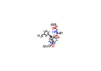 COC(=O)N1CC[C@@H]2[C@H]1CCC[C@]2(C#Cc1cccc(C)c1)OC(=O)[C@@H](NCC(=O)OC(C)(C)C)C(C)C